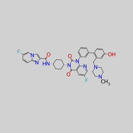 CN1CCN(Cc2cc(O)ccc2-c2cccc(-n3c(=O)n([C@H]4CC[C@@H](NC(=O)c5cn6cc(F)ccc6n5)CC4)c(=O)c4cc(F)cnc43)c2)CC1